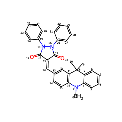 BN1c2ccccc2C(C)(C)c2cc(C=C3C(=O)N(c4ccccc4)N(c4ccccc4)C3=O)ccc21